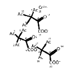 CC(=O)C(C(C)=O)(C(C)=O)C(=O)C(=O)[O-].CC(=O)C(C(C)=O)(C(C)=O)C(=O)C(=O)[O-].CC(=O)C(C(C)=O)(C(C)=O)C(=O)C(=O)[O-].[Cr+3]